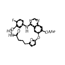 COc1cc2ncnc(Nc3ccc(F)c(Cl)c3)c2cc1Oc1ccc(CCCC(=O)NO)o1